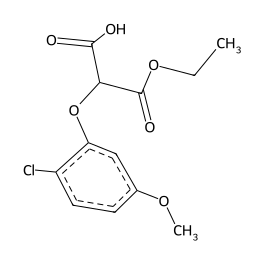 CCOC(=O)C(Oc1cc(OC)ccc1Cl)C(=O)O